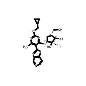 Cc1nc(NCC2CC2)nc(N[C@@H]2C[C@H](CO)[C@@H](O)[C@@]2(C)O)c1-c1nc2cnccc2s1